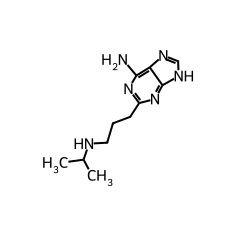 CC(C)NCCCc1nc(N)c2nc[nH]c2n1